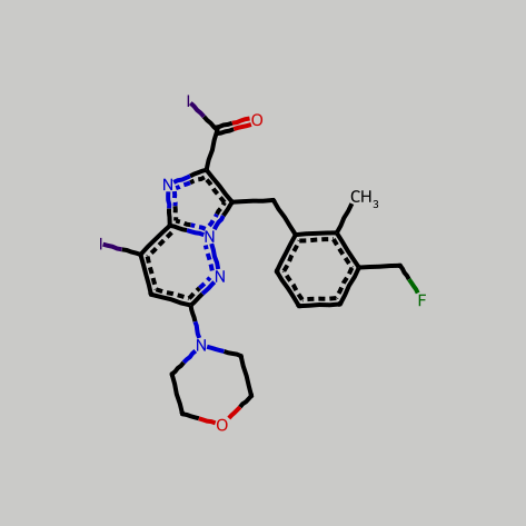 Cc1c(CF)cccc1Cc1c(C(=O)I)nc2c(I)cc(N3CCOCC3)nn12